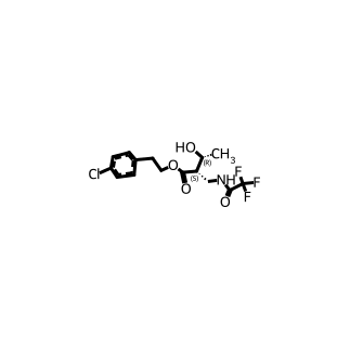 C[C@@H](O)[C@H](CNC(=O)C(F)(F)F)C(=O)OCCc1ccc(Cl)cc1